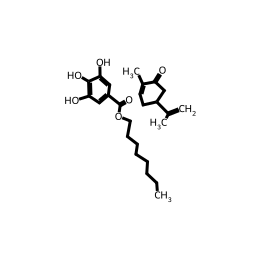 C=C(C)C1CC=C(C)C(=O)C1.CCCCCCCCOC(=O)c1cc(O)c(O)c(O)c1